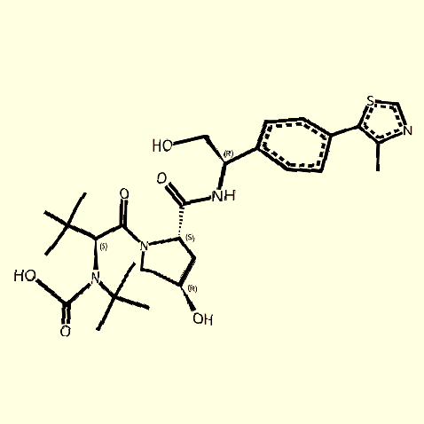 Cc1ncsc1-c1ccc([C@H](CO)NC(=O)[C@@H]2C[C@@H](O)CN2C(=O)[C@@H](N(C(=O)O)C(C)(C)C)C(C)(C)C)cc1